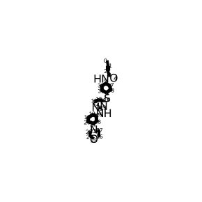 CC#CC(=O)Nc1ccc(Sc2ccnc(Nc3cccc(N4CCOCC4)c3)n2)cc1